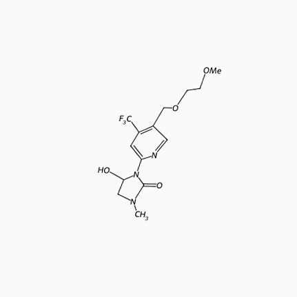 COCCOCc1cnc(N2C(=O)N(C)CC2O)cc1C(F)(F)F